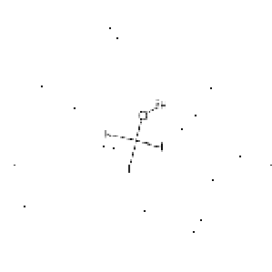 [2H]OC(I)(I)I